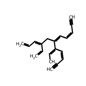 C#C\C=C/C=C(C/C(C=C)=C/C=C)\C(\C=C/C#C)=C\C